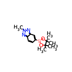 Cn1nc2ccc(B3OC(C)(C)C(C)(C)O3)cc2n1